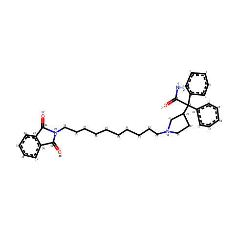 NC(=O)C(c1ccccc1)(c1ccccc1)C1CCN(CCCCCCCCCCN2C(=O)c3ccccc3C2=O)C1